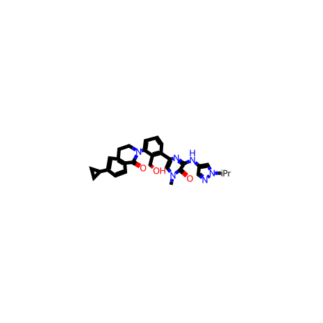 CC(C)n1cc(Nc2nc(-c3cccc(N4CCc5cc(C6CC6)ccc5C4=O)c3CO)cn(C)c2=O)cn1